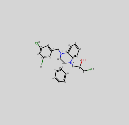 O[C@@H](CF)CN1c2ccccc2N(Cc2cc(Cl)cc(Cl)c2)C[C@H]1c1ccccc1